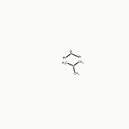 CC(C)NC(C)C.CN(C)C